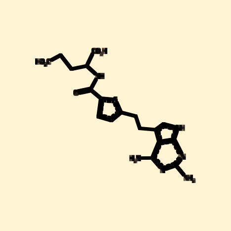 Nc1nc(N)c2c(CCc3ccc(C(=O)NC(CCC(=O)O)C(=O)O)s3)c[nH]c2n1